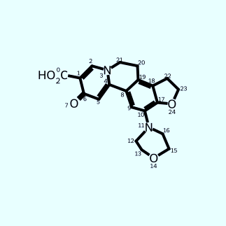 O=C(O)c1cn2c(cc1=O)-c1cc(N3CCOCC3)c3c(c1CC2)CCO3